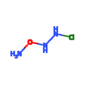 NONNCl